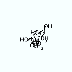 C[O][Ti](=[O])[O]C.OCCN(CCO)CCO.OCCN(CCO)CCO